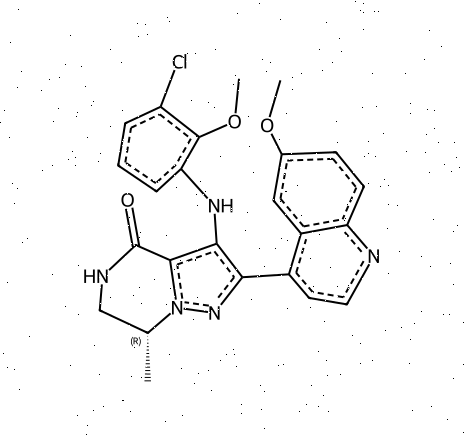 COc1ccc2nccc(-c3nn4c(c3Nc3cccc(Cl)c3OC)C(=O)NC[C@H]4C)c2c1